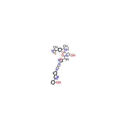 Cc1ncsc1-c1ccc([C@@H](C)NC(=O)[C@H]2C[C@H](O)CN2C(=O)C(c2cc(N3CC4(CN(c5ccc6cc(-c7ccccc7O)nnc6c5)C4)C3)no2)C(C)C)cc1